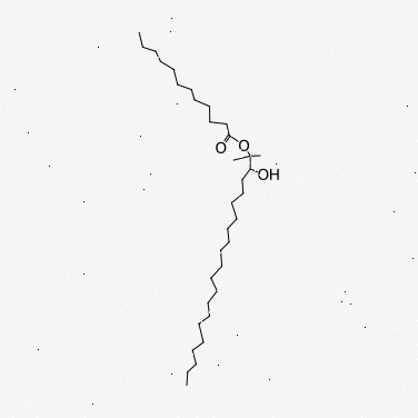 CCCCCCCCCCCCCCCCCCC(O)C(C)(C)OC(=O)CCCCCCCCCCC